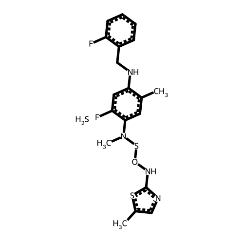 Cc1cnc(NOSN(C)c2cc(C)c(NCc3ccccc3F)cc2F)s1.S